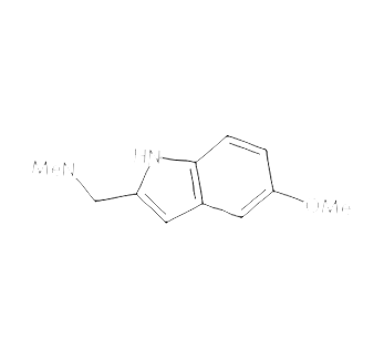 CNCc1cc2cc(OC)ccc2[nH]1